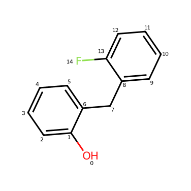 Oc1ccccc1Cc1ccccc1F